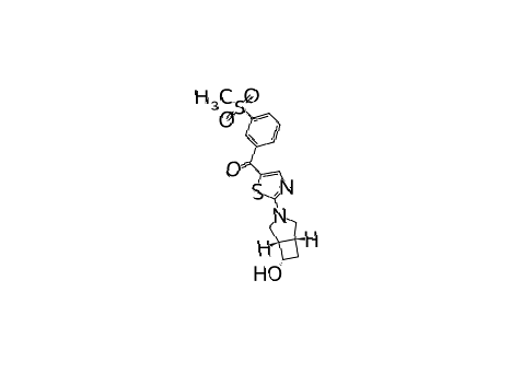 CS(=O)(=O)c1cccc(C(=O)c2cnc(N3C[C@@H]4C[C@H](O)[C@@H]4C3)s2)c1